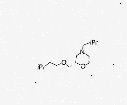 CC(C)CCOC[C@@H]1CN(CC(C)C)CCO1